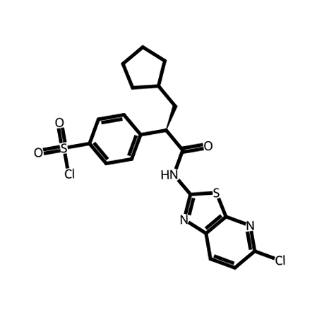 O=C(Nc1nc2ccc(Cl)nc2s1)[C@H](CC1CCCC1)c1ccc(S(=O)(=O)Cl)cc1